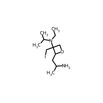 CCN(C(C)C)C1(CI)COC1CC(C)N